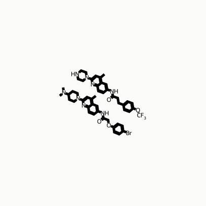 Cc1cc(N2CCC(N(C)C)CC2)nc2ccc(NC(=O)COc3ccc(Br)cc3)cc12.Cc1cc(N2CCNCC2)nc2ccc(NC(=O)CCc3ccc(OC(F)(F)F)cc3)cc12